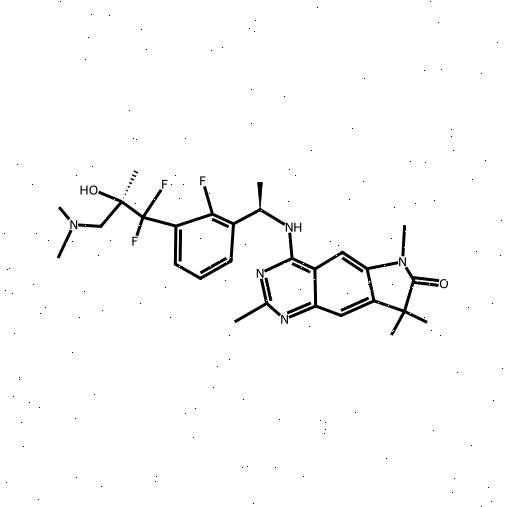 Cc1nc(N[C@H](C)c2cccc(C(F)(F)[C@](C)(O)CN(C)C)c2F)c2cc3c(cc2n1)C(C)(C)C(=O)N3C